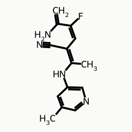 C=C(N)/C(F)=C\C(C#N)=C(/C)Nc1cncc(C)c1